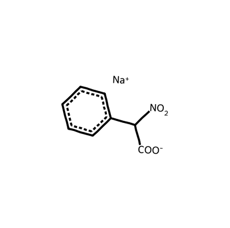 O=C([O-])C(c1ccccc1)[N+](=O)[O-].[Na+]